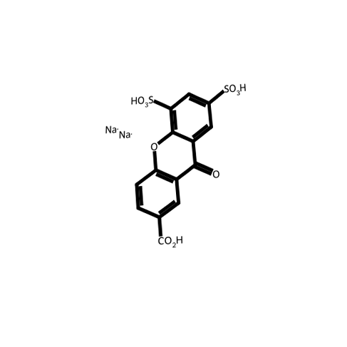 O=C(O)c1ccc2oc3c(S(=O)(=O)O)cc(S(=O)(=O)O)cc3c(=O)c2c1.[Na].[Na]